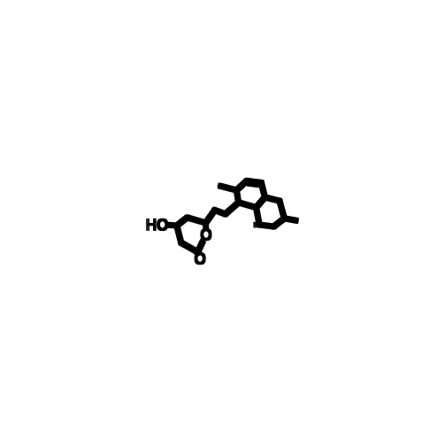 CC1C[C]C2C(C=CC(C)C2CCC2CC(O)CC(=O)O2)C1